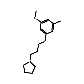 COc1cc(C)[c]c(OCCCN2CCCC2)c1